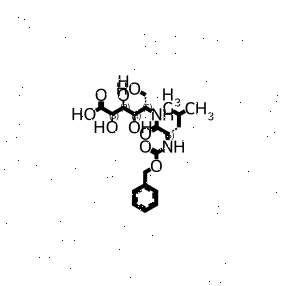 CC(C)C[C@H](NC(=O)OCc1ccccc1)C(=O)N[C@@H](CO)[C@@H](O)[C@@H](O)[C@H](O)C(=O)O